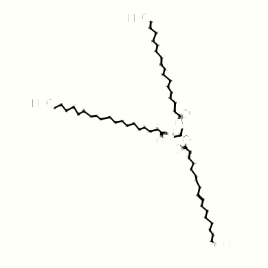 CCCCCCCCC=CCCCCCCCC(=O)OC(COC(=O)CCCCCCCCCCCCCCCCC)COC(=O)CCCCCCCCCCCCCCCCCCC